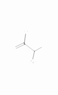 NC(Cl)C(=O)O